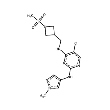 Cn1cc(Nc2ncc(Cl)c(NCC3CN(S(C)(=O)=O)C3)n2)cn1